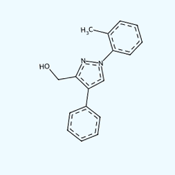 Cc1ccccc1-n1cc(-c2ccccc2)c(CO)n1